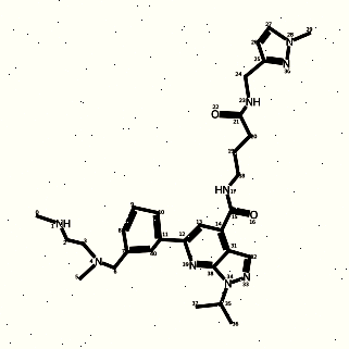 CNCCN(C)Cc1cccc(-c2cc(C(=O)NCCCC(=O)NCc3ccn(C)n3)c3cnn(C(C)C)c3n2)c1